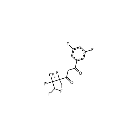 O=C(CC(=O)C(F)(F)C(F)(C(F)F)C(F)(F)F)c1cc(F)cc(F)c1